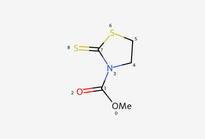 COC(=O)N1CCSC1=S